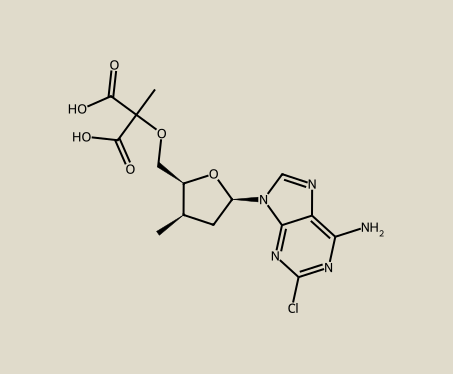 C[C@@H]1C[C@H](n2cnc3c(N)nc(Cl)nc32)O[C@@H]1COC(C)(C(=O)O)C(=O)O